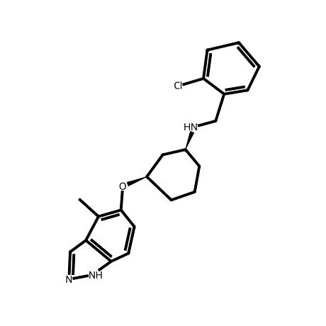 Cc1c(O[C@@H]2CCC[C@H](NCc3ccccc3Cl)C2)ccc2[nH]ncc12